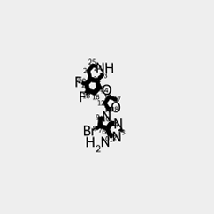 Nc1ncnc2c1c(Br)cn2C1CC(Oc2cc(F)c(F)c3c2CNCC3)CO1